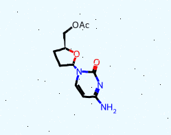 CC(=O)OC[C@@H]1CC[C@H](n2ccc(N)nc2=O)O1